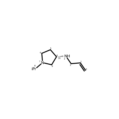 C=CCN[C@H]1CCN(C(C)C)C1